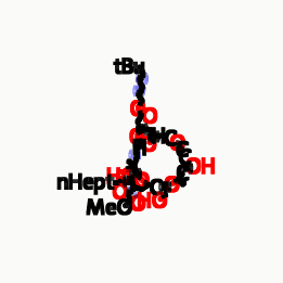 C=C1C[C@H](O)CCOCC[C@@H]2C[C@H](CC(=O)OC/C=C/C=C/C(C)(C)C)O[C@H](/C=C/C(C)(C)[C@]3(O)OC(C/C(=C\C(=O)OC)[C@@H]3OC(=O)CCCCCCC)C[C@H](CO)O1)O2